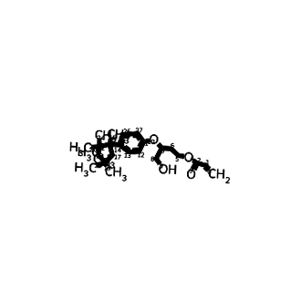 C=CC(=O)OCCC(CO)Oc1ccc(C(C)(CC(C)(C)C)C(C)(C)C)cc1